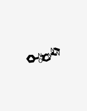 c1ccc(-c2nc3c(o2)CCN(c2cnccn2)C3)cc1